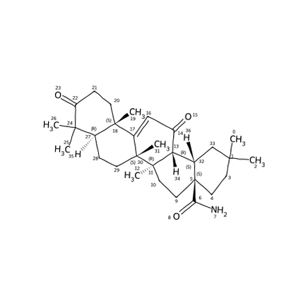 CC1(C)CC[C@]2(C(N)=O)CC[C@]3(C)[C@H](C(=O)C=C4[C@@]5(C)CCC(=O)C(C)(C)[C@@H]5CC[C@]43C)[C@@H]2C1